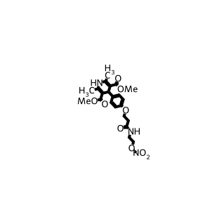 COC(=O)C1=C(C)NC(C)=C(C(=O)OC)C1c1ccc(OCCC(=O)NCCO[N+](=O)[O-])cc1